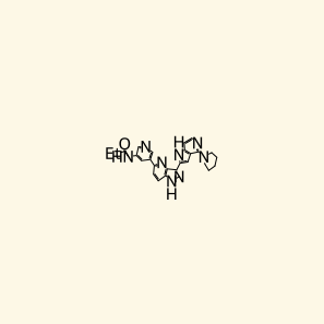 CCC(=O)Nc1cncc(-c2ccc3[nH]nc(-c4cc5c(N6CCCCC6)nccc5[nH]4)c3n2)c1